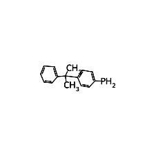 CC(C)(c1ccccc1)c1ccc(P)cc1